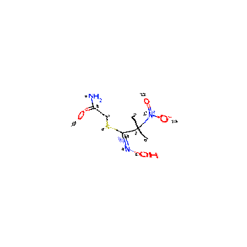 CC(C)(/C(=N\O)SCC(N)=O)[N+](=O)[O-]